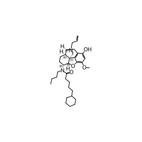 C=CCN1CC[C@]23c4c5c(O)cc(OC)c4O[C@H]2[C@H](N(CCCC)C(=O)CCCCC2CCCCC2)CC[C@H]3[C@H]1C5